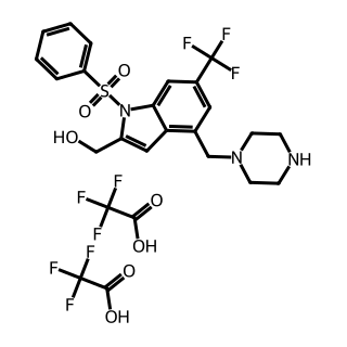 O=C(O)C(F)(F)F.O=C(O)C(F)(F)F.O=S(=O)(c1ccccc1)n1c(CO)cc2c(CN3CCNCC3)cc(C(F)(F)F)cc21